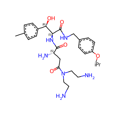 Cc1ccc([C@@H](O)[C@H](NC(=O)[C@@H](N)CC(=O)N(CCN)CCN)C(=O)NCc2ccc(OC(C)C)cc2)cc1